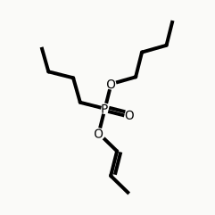 CC=COP(=O)(CCCC)OCCCC